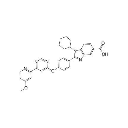 COc1ccnc(-c2cc(Oc3ccc(-c4nc5cc(C(=O)O)ccc5n4C4CCCCC4)cc3)ncn2)c1